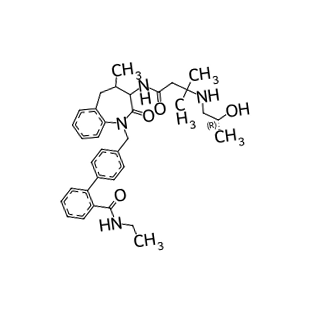 CCNC(=O)c1ccccc1-c1ccc(CN2C(=O)C(NC(=O)CC(C)(C)NC[C@@H](C)O)C(C)Cc3ccccc32)cc1